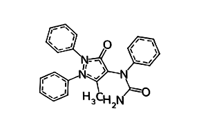 Cc1c(N(C(N)=O)c2ccccc2)c(=O)n(-c2ccccc2)n1-c1ccccc1